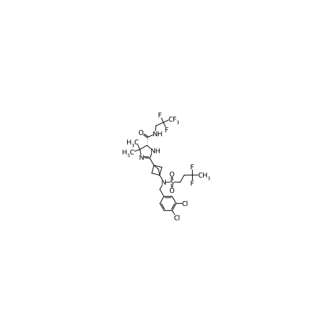 CC(F)(F)CCS(=O)(=O)N(Cc1ccc(Cl)c(Cl)c1)C12CC(C3=NC(C)(C)[C@H](C(=O)NCC(F)(F)C(F)(F)F)N3)(C1)C2